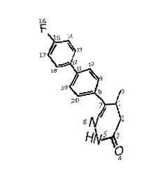 CC1CC(=O)NN=C1c1ccc(-c2ccc(F)cc2)cc1